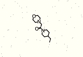 CCC1CCN(C(=O)CN2CCOCC2)CC1